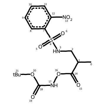 CC(CNS(=O)(=O)c1ccccc1[N+](=O)[O-])C(=O)ONC(=O)OC(C)(C)C